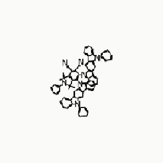 CC1(C)c2c(C#N)c(C#N)c(-n3c4ccccc4c4cc5c(cc43)c3ccccc3n5-c3ccccc3)c(-n3c4ccccc4c4cc5c(cc43)c3ccccc3n5-c3ccccc3)c2C(C)(C)N1c1ccccc1